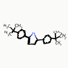 CC(C)(C)c1ccc(C2=CC=C(c3ccc(C(C)(C)C)cc3)[N]2)cc1